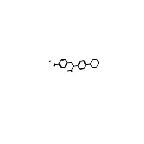 COC(=O)c1ccc(CC(C(=O)Cl)c2ccc(C3CCCCC3)cc2)cc1